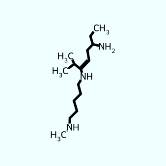 CCC(N)C/C=C(/NCCCCCNC)C(C)C